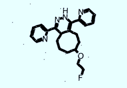 FCCOC1CCCC2C(c3ccccn3)=NNC(c3ccccn3)=C2CC1